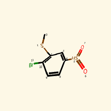 CSc1cc([SH](=O)=O)ccc1Br